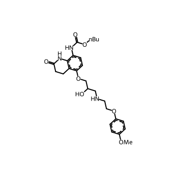 CCCCOC(=O)Nc1ccc(OCC(O)CNCCOc2ccc(OC)cc2)c2c1NC(=O)CC2